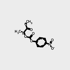 COC(=O)[C@H](C)OC(=O)Oc1ccc([N+](=O)[O-])cc1